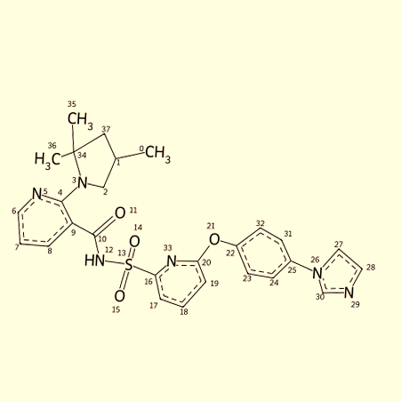 CC1CN(c2ncccc2C(=O)NS(=O)(=O)c2cccc(Oc3ccc(-n4ccnc4)cc3)n2)C(C)(C)C1